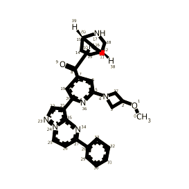 COC1CN(c2cc(C(=O)N3C[C@H]4CC[C@@H](C3)NC4)cc(-c3cnn4ccc(-c5ccccc5)nc34)n2)C1